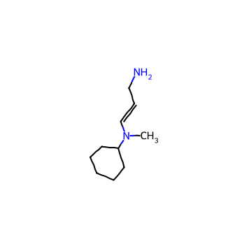 CN(C=CCN)C1CCCCC1